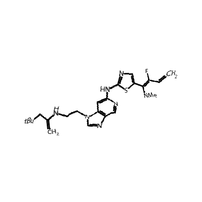 C=C/C(F)=C(\NC)c1cnc(Nc2cc3c(cn2)ncn3CCNC(=C)CC(C)(C)C)s1